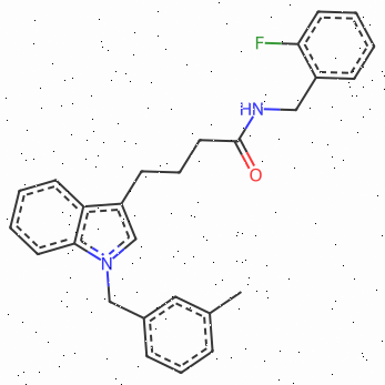 Cc1cccc(Cn2cc(CCCC(=O)NCc3ccccc3F)c3ccccc32)c1